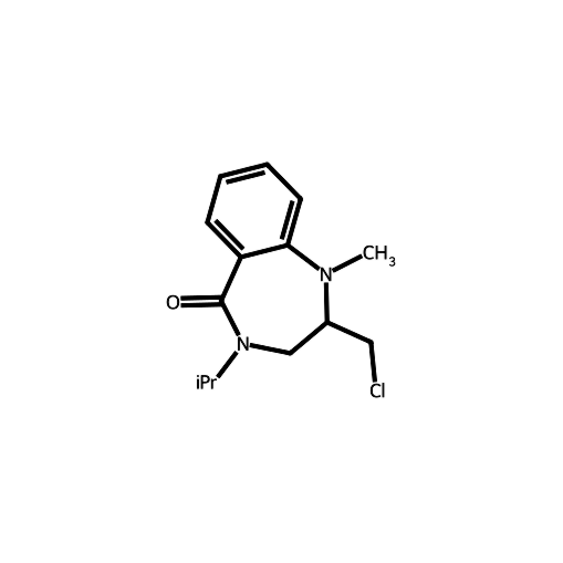 CC(C)N1CC(CCl)N(C)c2ccccc2C1=O